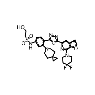 O=S(=O)(CCO)Nc1ccc(-c2nnc(-c3cc4ccoc4c(N4CCC(F)(F)CC4)n3)o2)c(N2CCC3(CC2)CC3)c1